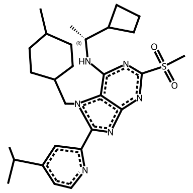 CC1CCC(Cn2c(-c3cc(C(C)C)ccn3)nc3nc(S(C)(=O)=O)nc(N[C@H](C)C4CCC4)c32)CC1